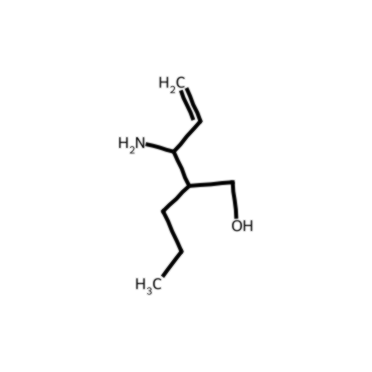 C=CC(N)C(CO)CCC